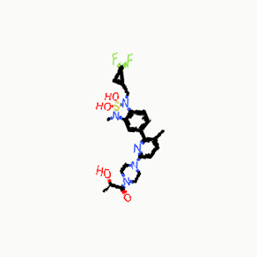 Cc1ccc(N2CCN(C(=O)[C@@H](C)O)CC2)nc1-c1ccc2c(c1)N(C)S(O)(O)N2CC1CC1(F)F